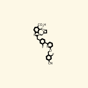 N#Cc1ccc(COc2cccc(-c3ccc(Cc4nc5ccc(C(=O)O)c(F)c5n4C[C@@H]4CCO4)cc3F)n2)c(F)c1